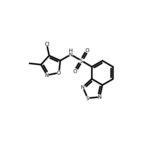 Cc1noc(NS(=O)(=O)c2cccc3nsnc23)c1Cl